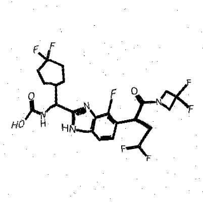 O=C(O)NC(c1nc2c(F)c(C(CC(F)F)C(=O)N3CC(F)(F)C3)ccc2[nH]1)C1CCC(F)(F)CC1